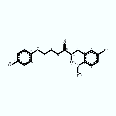 COc1ccc(F)cc1CN(C)C(=O)CCCSc1ccc(Br)cc1